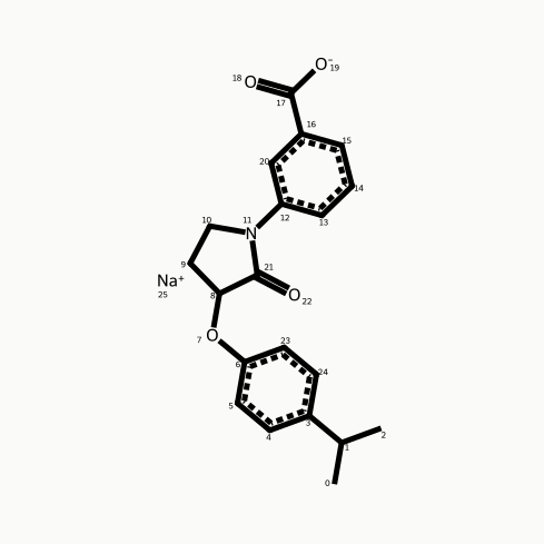 CC(C)c1ccc(OC2CCN(c3cccc(C(=O)[O-])c3)C2=O)cc1.[Na+]